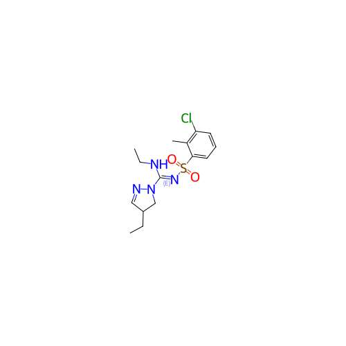 CCN/C(=N\S(=O)(=O)c1cccc(Cl)c1C)N1CC(CC)C=N1